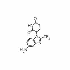 Nc1ccc2c(c1)nc(C(F)(F)F)n2C1CCC(=O)NC1=O